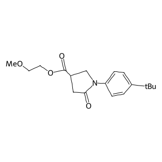 COCCOC(=O)C1CC(=O)N(c2ccc(C(C)(C)C)cc2)C1